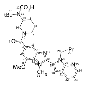 COc1cc(C(=O)N2CCCC(N(C(=O)O)C(C)(C)C)C2)cc2nc(-c3cc4cccnc4n3CC(C)C)n(C)c12